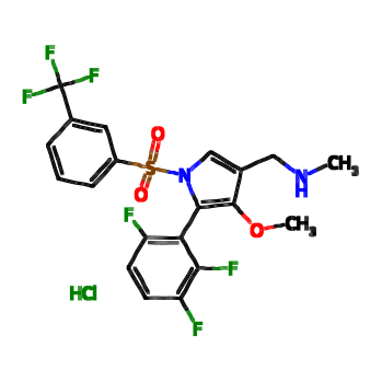 CNCc1cn(S(=O)(=O)c2cccc(C(F)(F)F)c2)c(-c2c(F)ccc(F)c2F)c1OC.Cl